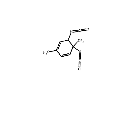 CC1=CC(N=C=O)C(C)(N=C=O)C=C1